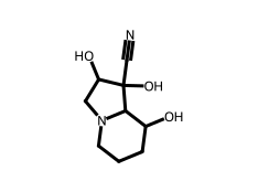 N#CC1(O)C(O)CN2CCCC(O)C21